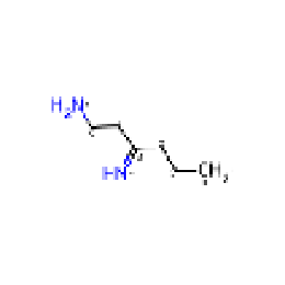 [CH2]CCC(=N)CCN